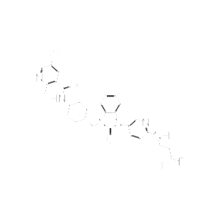 Cc1ncc(Cl)cc1C(=O)N[C@H]1CC[C@H](Cn2c(=O)n(-c3ccc(NCCC(F)F)nc3)c3ccccc32)CC1